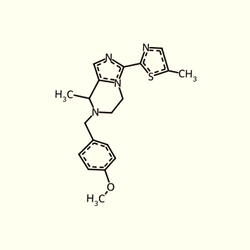 COc1ccc(CN2CCn3c(cnc3-c3ncc(C)s3)C2C)cc1